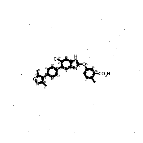 Cc1ccc(Oc2nc3cc(-c4ccc(-c5c(C)noc5C)cc4)c(Cl)cc3[nH]2)cc1C(=O)O